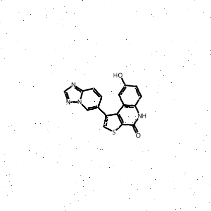 O=c1[nH]c2ccc(O)cc2c2c(-c3ccc4ncnn4c3)csc12